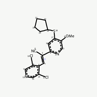 COc1cnc(/C(C#N)=C/c2c(Cl)cncc2Cl)cc1SC1CCCC1